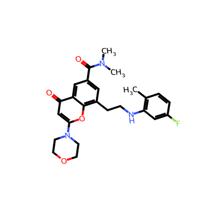 Cc1ccc(F)cc1NCCc1cc(C(=O)N(C)C)cc2c(=O)cc(N3CCOCC3)oc12